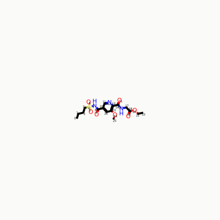 CCCCS(=O)(=O)NC(=O)c1cnc(C(=O)NCC(=O)OCC)c(OC)c1